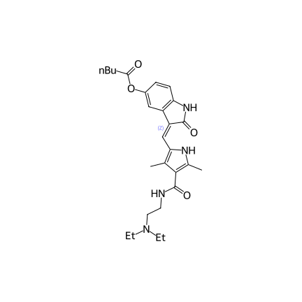 CCCCC(=O)Oc1ccc2c(c1)/C(=C/c1[nH]c(C)c(C(=O)NCCN(CC)CC)c1C)C(=O)N2